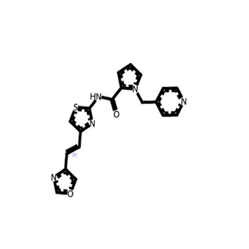 O=C(Nc1nc(/C=C/c2cocn2)cs1)c1cccn1Cc1ccncc1